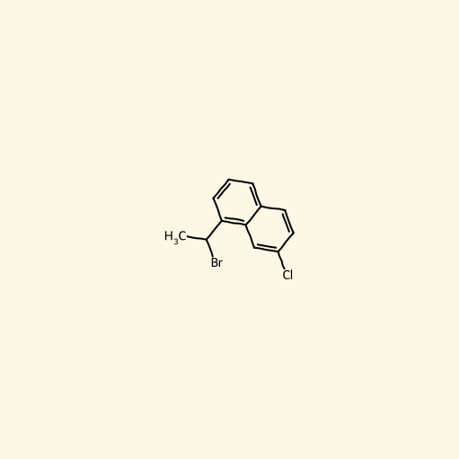 CC(Br)c1cccc2ccc(Cl)cc12